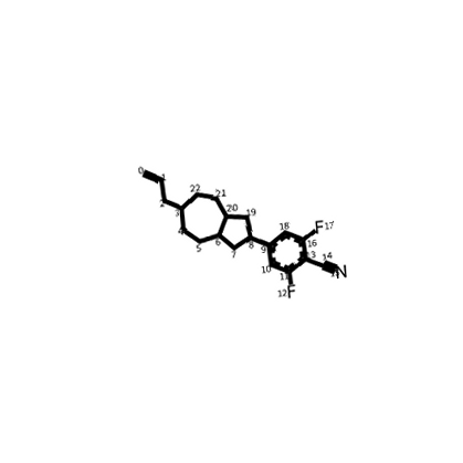 C=CCC1CCC2CC(c3cc(F)c(C#N)c(F)c3)CC2CC1